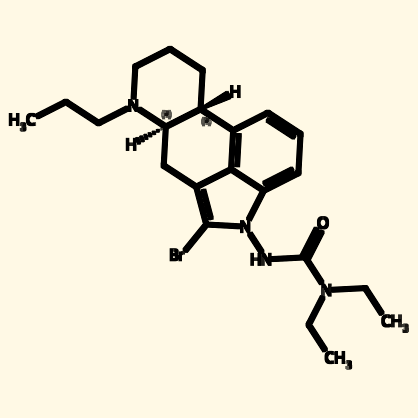 CCCN1CCC[C@@H]2c3cccc4c3c(c(Br)n4NC(=O)N(CC)CC)C[C@H]21